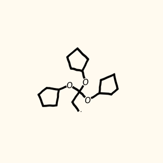 [CH2]CC(OC1CCCC1)(OC1CCCC1)OC1CCCC1